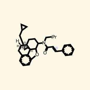 CC(C)CN(C(=O)/C=C/c1ccccc1)C1CC[C@@]2(O)[C@H]3Cc4cccc5c4[C@@]2(CCN3CC2CC2)C1O5